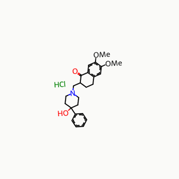 COc1cc2c(cc1OC)C(=O)C(CN1CCC(O)(c3ccccc3)CC1)CC2.Cl